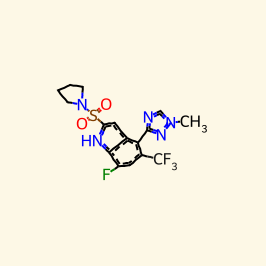 Cn1cnc(-c2c(C(F)(F)F)cc(F)c3[nH]c(S(=O)(=O)N4CCCC4)cc23)n1